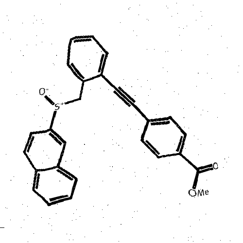 COC(=O)c1ccc(C#Cc2ccccc2C[S+]([O-])c2ccc3ccccc3c2)cc1